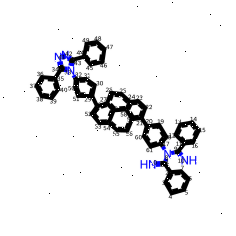 N=C(c1ccccc1)N(C(=N)c1ccccc1)c1ccc(-c2ccc3ccc4c(-c5ccc(-n6c(-c7ccccc7)nnc6-c6ccccc6)cc5)ccc5ccc2c3c54)cc1